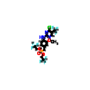 COc1cc(CP(=O)(OCC(F)(F)F)OCC(F)(F)F)ccc1Nc1ncc(C(F)(F)F)c(Cl)n1